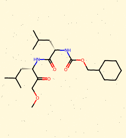 COCC(=O)[C@H](CC(C)C)NC(=O)[C@H](CC(C)C)NC(=O)OCC1CCCCC1